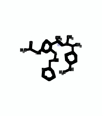 CNc1ccc(C(C)N(C)/C=C(\C)c2ccc(NC(C)=O)cc2SNCc2ccccn2)cc1